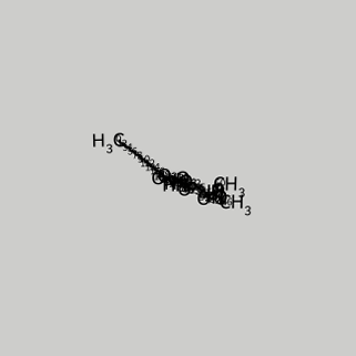 CCCCCCCCCCCCCCCCCC(=O)OCc1ccc(C(=O)NS(=O)(=O)c2ccc(CCNC(=O)c3ccc(OCC)c(OCC)c3)cc2)cn1